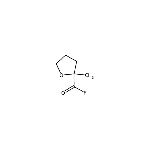 CC1(C(=O)F)CCCO1